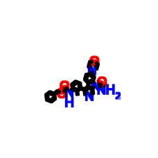 Cc1c(NC(=O)OCc2ccccc2)cccc1-c1cncc2c1c1ccc(N3CCOCC3)cc1n2C(N)=O